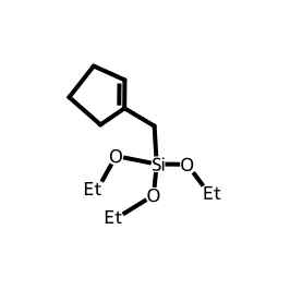 CCO[Si](CC1=CCCC1)(OCC)OCC